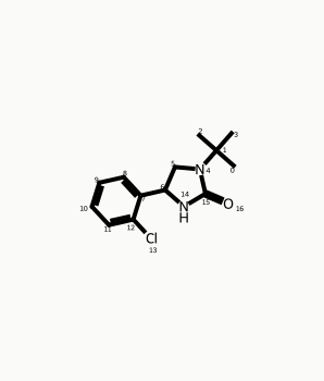 CC(C)(C)N1CC(c2ccccc2Cl)NC1=O